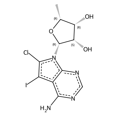 C[C@H]1O[C@@H](n2c(Cl)c(I)c3c(N)ncnc32)[C@@H](O)[C@H]1O